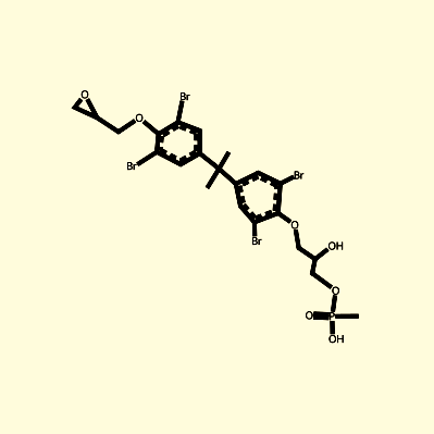 CC(C)(c1cc(Br)c(OCC(O)COP(C)(=O)O)c(Br)c1)c1cc(Br)c(OCC2CO2)c(Br)c1